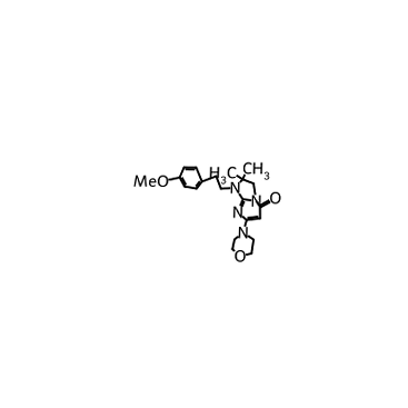 COc1ccc(CCN2c3nc(N4CCOCC4)cc(=O)n3CC2(C)C)cc1